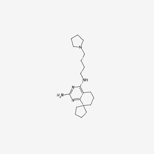 Nc1nc(NCCCCN2CCCC2)c2c(n1)C1(CCCC1)CCC2